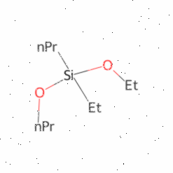 CCCO[Si](CC)(CCC)OCC